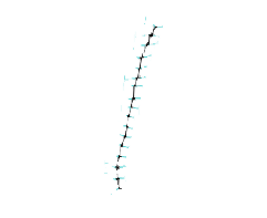 CC(F)C(F)(F)C(F)(F)C(F)(F)C(F)(F)C(F)(F)C(F)(F)C(F)(F)C(F)(F)C(F)(F)C(F)(F)C(F)(F)C(F)(F)C(F)(F)C(F)(F)C(F)(F)[C](F)F